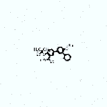 CCCC(CC)C1=C(OC(C)(C)CC)CCC(C2=CC(C3CCCCC3)=C(OC(C)(C)C)CC2)=C1